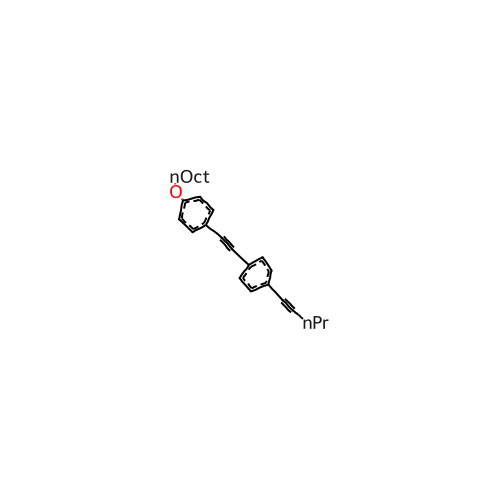 CCCC#Cc1ccc(C#Cc2ccc(OCCCCCCCC)cc2)cc1